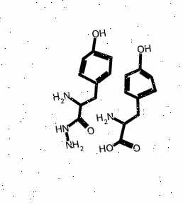 NC(Cc1ccc(O)cc1)C(=O)O.NNC(=O)C(N)Cc1ccc(O)cc1